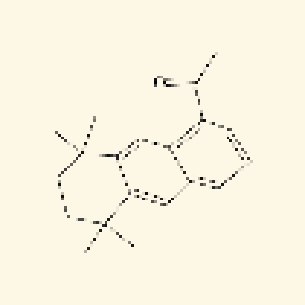 CC(=O)c1cccc2cc3c(cc12)C(C)(C)CCC3(C)C